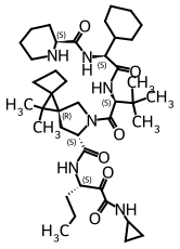 CCC[C@H](NC(=O)[C@@H]1C[C@@]2(CN1C(=O)[C@@H](NC(=O)[C@@H](NC(=O)[C@@H]1CCCCN1)C1CCCCC1)C(C)(C)C)C(C)(C)C21CCC1)C(=O)C(=O)NC1CC1